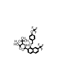 CC(C)(C)[C@@H](NC(=O)c1ccc2ccc(C(F)(F)F)cc2c1OCc1ccc(OC(F)(F)F)cc1)C(=O)O